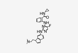 CN(C)CCC1C=Cc2ccc(Nc3ncc(F)c(NC4C5C=CC(C5)C4C(=O)NC4CC4)n3)cc21